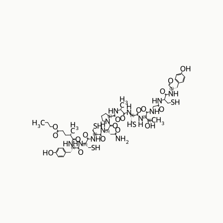 CCCOC(=O)CCC(C)C(=O)N[C@@H](Cc1ccc(O)cc1)C(=O)N[C@@H](CS)C(=O)N[C@@H](CS)C(=O)N[C@@H](CC(N)=O)C(=O)N1CCC[C@H]1C(=O)NC(C)C(=O)N[C@@H](CS)C(=O)N[C@H](C(=O)NCC(=O)NC(CS)C(=O)N[C@H](C=O)Cc1ccc(O)cc1)[C@@H](C)O